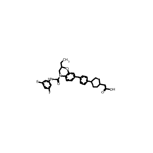 CCC1CN(C(=O)Nc2cc(F)cc(F)c2)c2ccc(-c3ccc(C4CCC(CC(=O)O)CC4)cc3)cc2O1